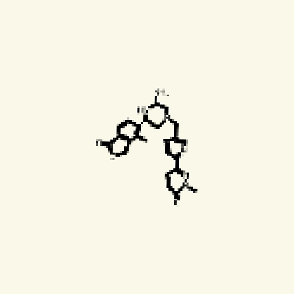 Cc1c([C@@H]2CN(Cc3ccc(-c4ccc(=O)n(C)n4)nc3)C[C@H](N)N2)ccc2c1COC2=O